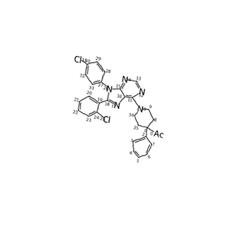 CC(=O)C1(c2ccccc2)CCN(c2ncnc3c2nc(-c2ccccc2Cl)n3-c2ccc(Cl)cc2)CC1